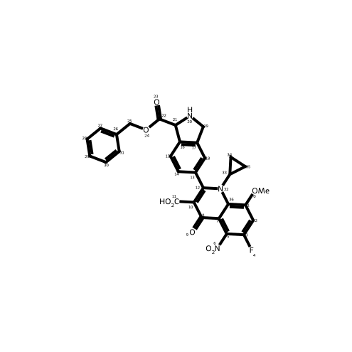 COc1cc(F)c([N+](=O)[O-])c2c(=O)c(C(=O)O)c(-c3ccc4c(c3)CNC4C(=O)OCc3ccccc3)n(C3CC3)c12